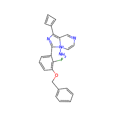 N[N+]12C=CN=CC1=C(C1=CC=C1)N=C2c1cccc(OCc2ccccc2)c1F